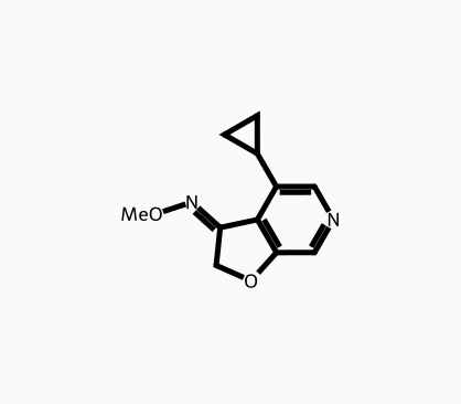 CON=C1COc2cncc(C3CC3)c21